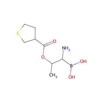 CC(OC(=O)C1CCSC1)C(N)B(O)O